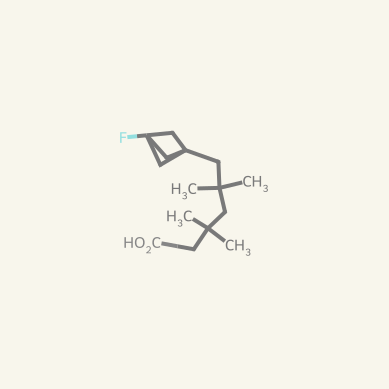 CC(C)(CC(=O)O)CC(C)(C)CC12CC(F)(C1)C2